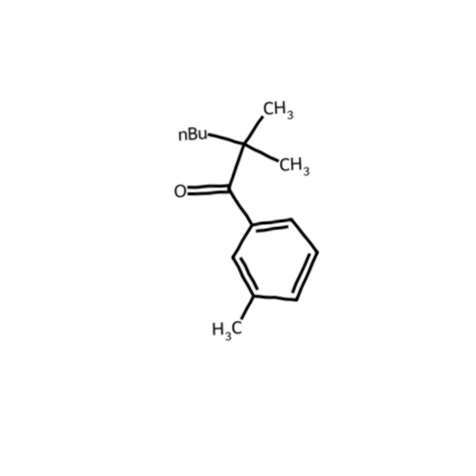 CCCCC(C)(C)C(=O)c1cccc(C)c1